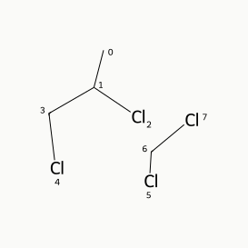 CC(Cl)CCl.ClCCl